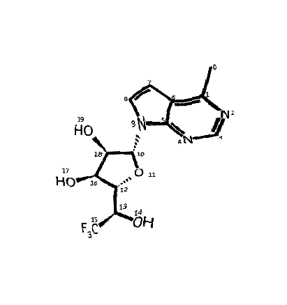 Cc1ncnc2c1ccn2[C@@H]1O[C@H]([C@@H](O)C(F)(F)F)[C@@H](O)[C@H]1O